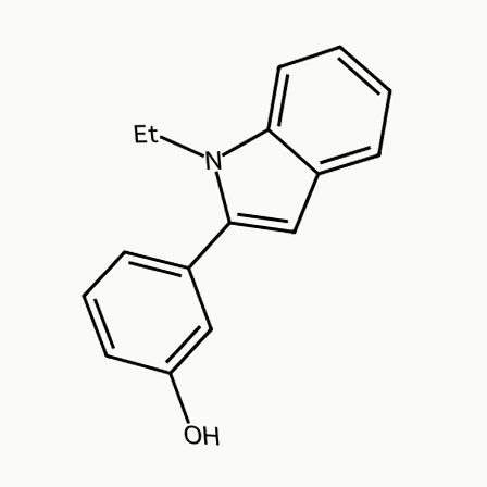 CCn1c(-c2cccc(O)c2)cc2ccccc21